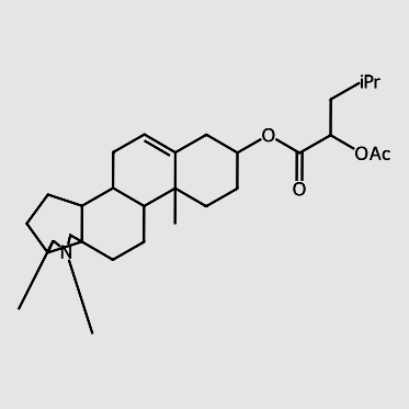 CC(=O)OC(CC(C)C)C(=O)OC1CCC2(C)C(=CCC3C2CCC24CN(C)C(C)C2CCC34)C1